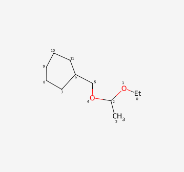 CCOC(C)OCC1CCCCC1